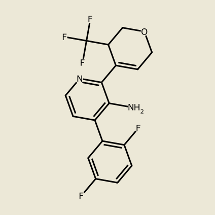 Nc1c(-c2cc(F)ccc2F)ccnc1C1=CCOCC1C(F)(F)F